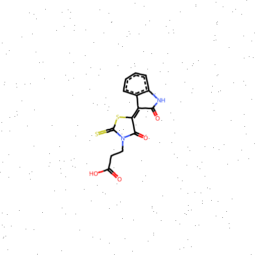 O=C(O)CCN1C(=O)C(=C2C(=O)Nc3ccccc32)SC1=S